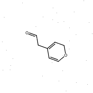 O=CCC1=CCOC=C1